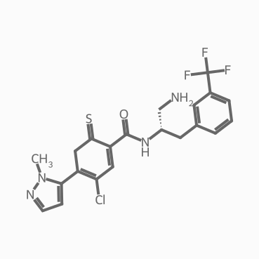 Cn1nccc1C1=C(Cl)C=C(C(=O)N[C@H](CN)Cc2cccc(C(F)(F)F)c2)C(=S)C1